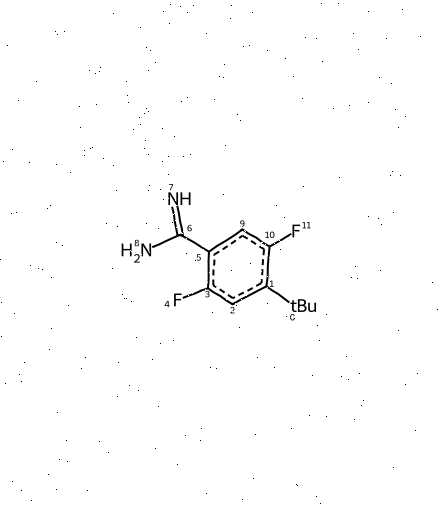 CC(C)(C)c1cc(F)c(C(=N)N)cc1F